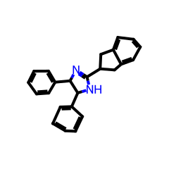 c1ccc(C2N=C(C3Cc4ccccc4C3)NC2c2ccccc2)cc1